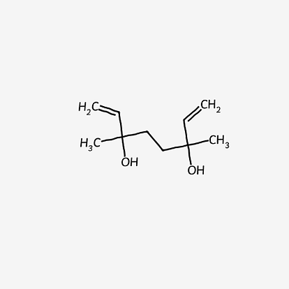 C=CC(C)(O)CCC(C)(O)C=C